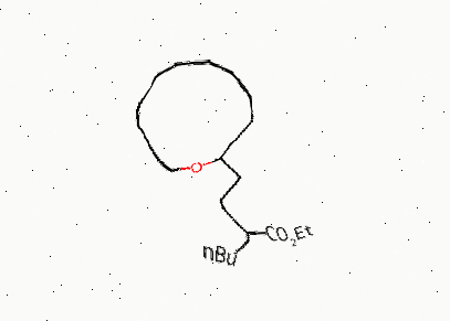 [CH2]CCCC(CC[C]1CCCCCCCCCCCO1)C(=O)OCC